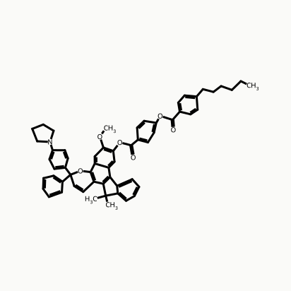 CCCCCCc1ccc(C(=O)Oc2ccc(C(=O)Oc3cc4c5c(c6c(c4cc3OC)OC(c3ccccc3)(c3ccc(N4CCCC4)cc3)C=C6)C(C)(C)c3ccccc3-5)cc2)cc1